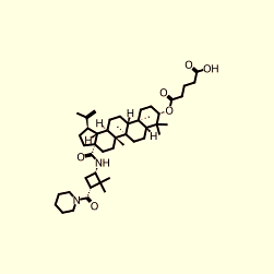 C=C(C)[C@@H]1CC[C@]2(C(=O)N[C@H]3C[C@@H](C(=O)N4CCCCC4)C3(C)C)CC[C@]3(C)[C@H](CC[C@@H]4[C@@]5(C)CC[C@H](OC(=O)CCCC(=O)O)C(C)(C)[C@@H]5CC[C@]43C)[C@@H]12